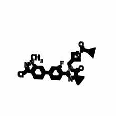 Cn1nc(Cl)c2ccc(-c3ccc(C4=NC5(CC5)C(=O)N4CC4CN(C(=O)C5CC5)C4)c(F)c3)cc21